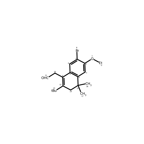 CCOc1cc2c(cc1Br)C(CC=O)=C(C(C)(C)C)CC2(C)C